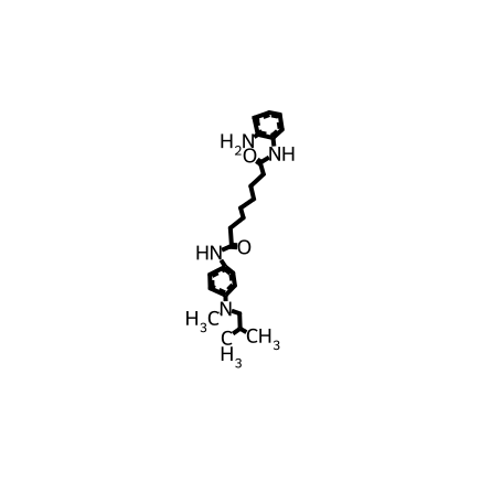 CC(C)CN(C)c1ccc(NC(=O)CCCCCCC(=O)Nc2ccccc2N)cc1